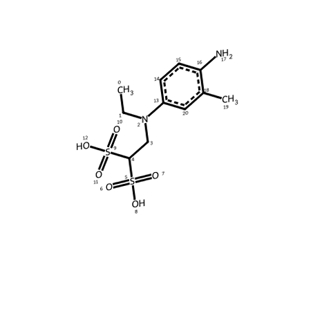 CCN(CC(S(=O)(=O)O)S(=O)(=O)O)c1ccc(N)c(C)c1